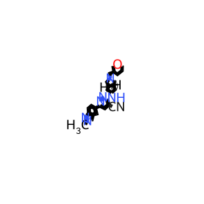 Cn1cc2cc(-c3cc(C#N)c(NC4C[C@@H]5CN(CC6CCCOC6)C[C@@H]5C4)nn3)ccc2n1